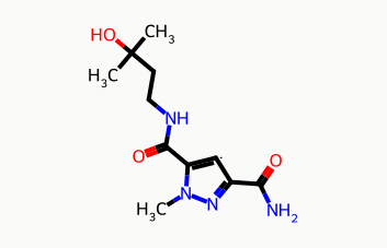 Cn1nc(C(N)=O)[c]c1C(=O)NCCC(C)(C)O